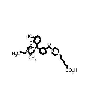 C=CCN1C[C@@H](C)N(C(c2cccc(O)c2)c2cccc(C(=O)N3CCN(CCCCCC(=O)O)CC3)c2)C[C@H]1C